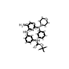 CC(C)(C)OC(=O)Nc1cccc(Nc2nc(N(c3ccccc3)N3CCOCC3)ncc2N)c1